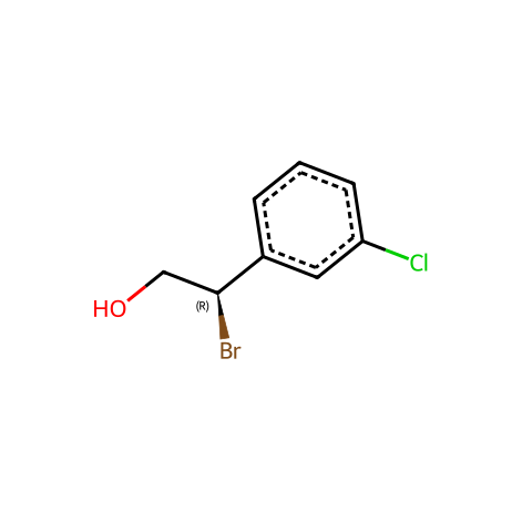 OC[C@H](Br)c1cccc(Cl)c1